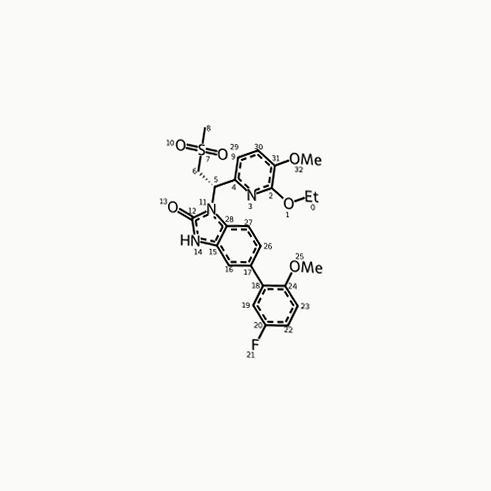 CCOc1nc([C@@H](CS(C)(=O)=O)n2c(=O)[nH]c3cc(-c4cc(F)ccc4OC)ccc32)ccc1OC